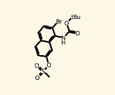 CC(C)(C)OC(=O)Nc1c(Br)ccc2ccc(OS(C)(=O)=O)cc12